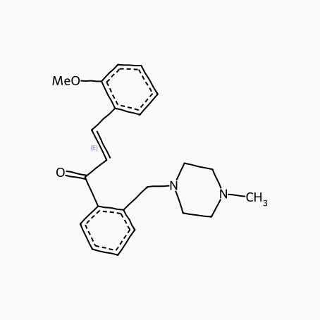 COc1ccccc1/C=C/C(=O)c1ccccc1CN1CCN(C)CC1